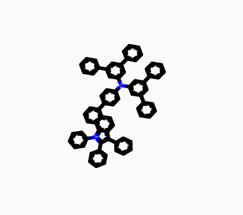 c1ccc(-c2cc(-c3ccccc3)cc(N(c3ccc(-c4cccc5c4ccc4c(-c6ccccc6)c(-c6ccccc6)n(-c6ccccc6)c45)cc3)c3cc(-c4ccccc4)cc(-c4ccccc4)c3)c2)cc1